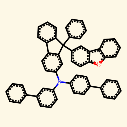 c1ccc(-c2ccc(N(c3cccc(-c4ccccc4)c3)c3ccc4c(c3)C(c3ccccc3)(c3ccc5oc6ccccc6c5c3)c3ccccc3-4)cc2)cc1